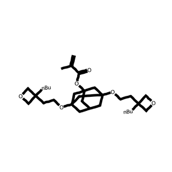 C=C(C)C(=O)OC12CC3CC(OCCC4(CCCC)COC4)(CC(OCCC4(CCCC)COC4)(C3)C1)C2